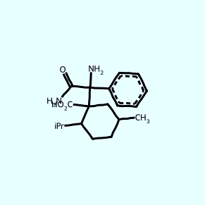 CC1CCC(C(C)C)C(C(=O)O)(C(N)(C(N)=O)c2ccccc2)C1